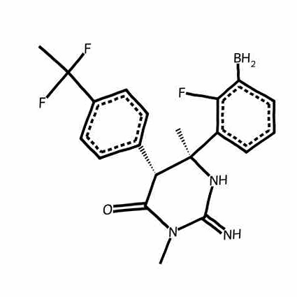 Bc1cccc([C@@]2(C)NC(=N)N(C)C(=O)[C@@H]2c2ccc(C(C)(F)F)cc2)c1F